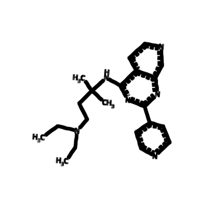 CCN(CC)CCC(C)(C)Nc1nc(-c2ccncc2)nc2cnccc12